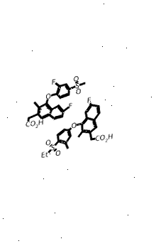 CCS(=O)(=O)c1ccc(Oc2c(C)c(CC(=O)O)cc3ccc(F)cc23)cc1C.Cc1c(CC(=O)O)cc2ccc(F)cc2c1Oc1ccc(S(C)(=O)=O)cc1F